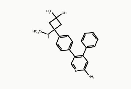 CC1(O)CC(NC(=O)O)(c2ccc(-c3cnc(N)cc3-c3ccccc3)cc2)C1